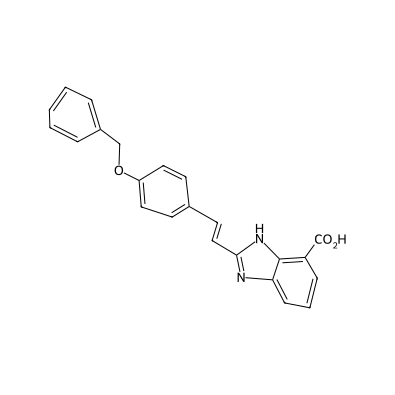 O=C(O)c1cccc2nc(C=Cc3ccc(OCc4ccccc4)cc3)[nH]c12